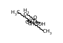 CCCCCCCC(=O)OCC(O)CO.CCCCCCCCCCCC(=O)OC(=O)CCCCCCCCC